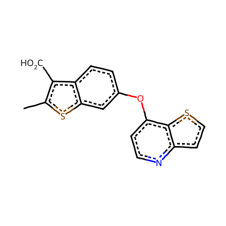 Cc1sc2cc(Oc3ccnc4ccsc34)ccc2c1C(=O)O